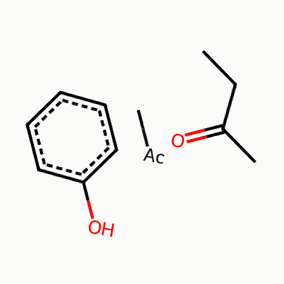 CC(C)=O.CCC(C)=O.Oc1ccccc1